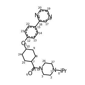 CC(C)N1CCN(C(=O)C2CCC(Oc3ccc(-c4cnccn4)cc3)CC2)CC1